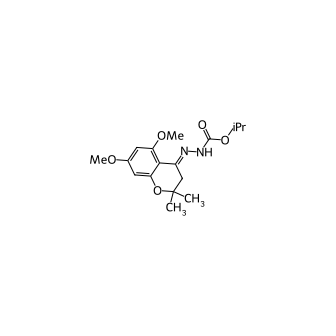 COc1cc(OC)c2c(c1)OC(C)(C)C/C2=N\NC(=O)OC(C)C